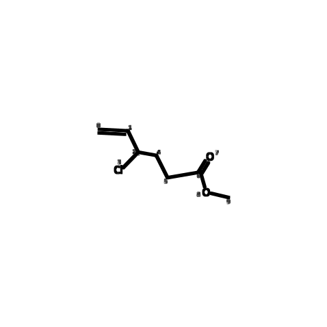 C=C[C](Cl)CCC(=O)OC